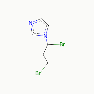 BrCCC(Br)n1ccnc1